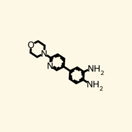 Nc1ccc(-c2ccc(N3CCOCC3)nc2)cc1N